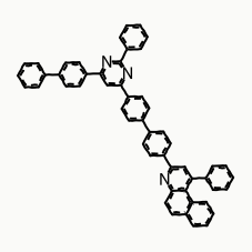 c1ccc(-c2ccc(-c3cc(-c4ccc(-c5ccc(-c6cc(-c7ccccc7)c7c(ccc8ccccc87)n6)cc5)cc4)nc(-c4ccccc4)n3)cc2)cc1